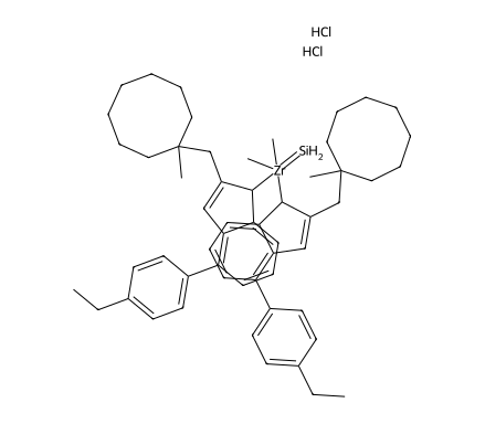 CCc1ccc(-c2cccc3c2C=C(CC2(C)CCCCCCC2)[CH]3[Zr]([CH3])([CH3])(=[SiH2])[CH]2C(CC3(C)CCCCCCC3)=Cc3c(-c4ccc(CC)cc4)cccc32)cc1.Cl.Cl